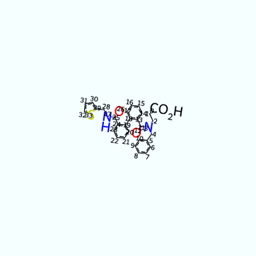 O=C(O)CCN(Cc1ccccc1)C(=O)c1ccccc1-c1ccccc1C(=O)NCc1cccs1